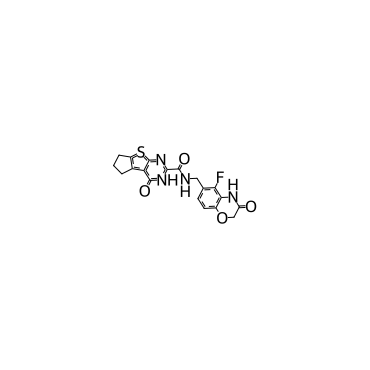 O=C1COc2ccc(CNC(=O)c3nc4sc5c(c4c(=O)[nH]3)CCC5)c(F)c2N1